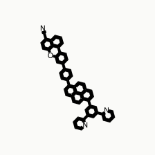 N#Cc1ccc2c3c(cccc13)-c1ccc(-c3ccc(-c4ccc5ccc6c(-c7cc(-c8ccccn8)cc(-c8ccccn8)c7)ccc7ccc4c5c76)cc3)cc1O2